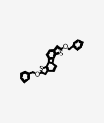 C1=CC2c3c(ccc4cc(OCc5ccccc5)sc34)C2C2=C1CC(OCc1ccccc1)S2